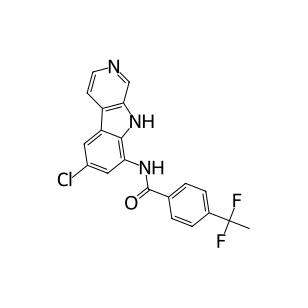 CC(F)(F)c1ccc(C(=O)Nc2cc(Cl)cc3c2[nH]c2cnccc23)cc1